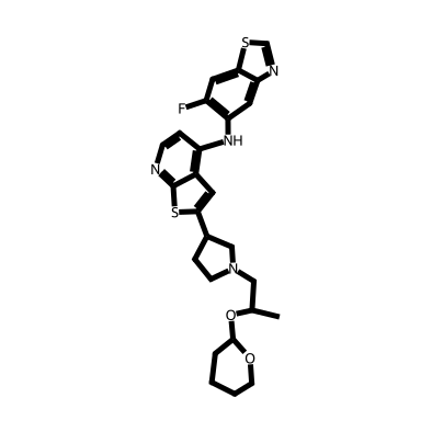 CC(CN1CCC(c2cc3c(Nc4cc5ncsc5cc4F)ccnc3s2)C1)OC1CCCCO1